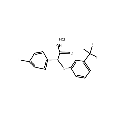 Cl.O=C(O)C(Oc1cccc(C(F)(F)F)c1)c1ccc(Cl)cc1